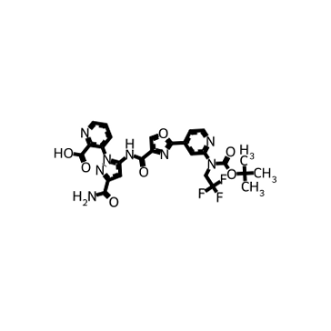 CC(C)(C)OC(=O)N(CC(F)(F)F)c1cc(-c2nc(C(=O)Nc3cc(C(N)=O)nn3-c3cccnc3C(=O)O)co2)ccn1